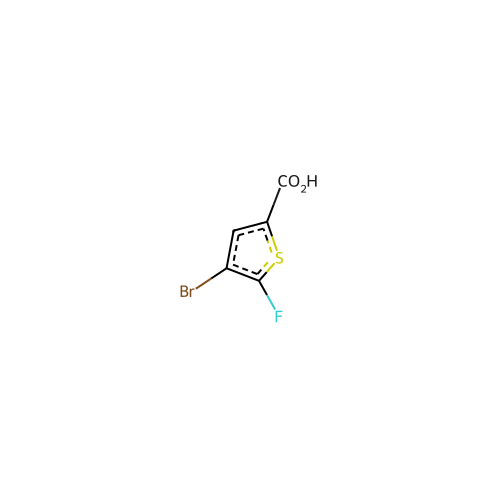 O=C(O)c1cc(Br)c(F)s1